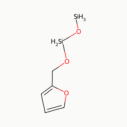 [SiH3]O[SiH2]OCc1ccco1